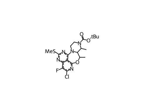 CSc1nc2c3c(nc(Cl)c(F)c3n1)OC(C)C1C(C)N(C(=O)OC(C)(C)C)CCN21